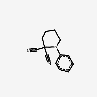 N#CC1(C#N)CCCCN1c1ccccc1